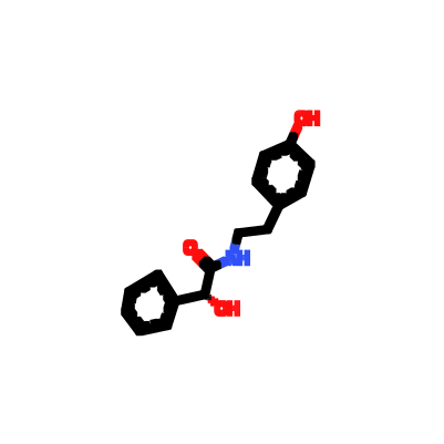 O=C(NCCc1ccc(O)cc1)[C@H](O)c1ccccc1